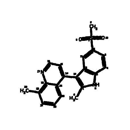 Cc1[nH]c2ccc(S(C)(=O)=O)cc2c1-c1ccnc2c(C)cccc12